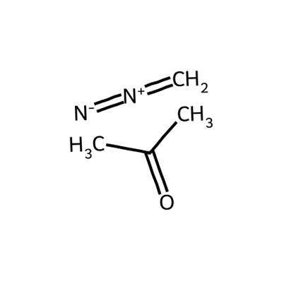 C=[N+]=[N-].CC(C)=O